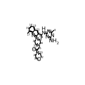 Cc1nc(N)nc(NC(C)c2cc3cccc(C)c3nc2N2CCN(CC(=O)N3CCOCC3)CC2)n1